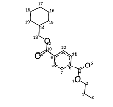 CCCOC(=O)c1ccc(C(=O)OCC2CCCCC2)cc1